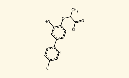 CC(Oc1ccc(-c2ccc(Cl)cn2)cc1O)C(=O)Cl